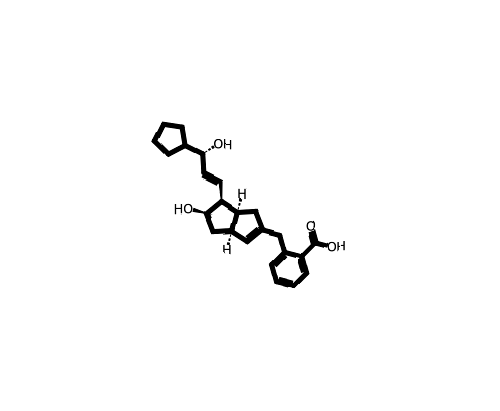 O=C(O)c1ccccc1CC1=C[C@H]2C[C@@H](O)[C@@H](/C=C/[C@@H](O)C3CCCC3)[C@H]2C1